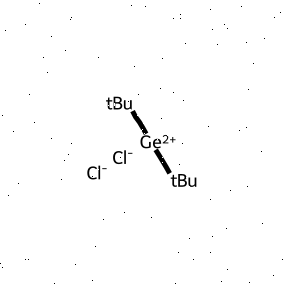 C[C](C)(C)[Ge+2][C](C)(C)C.[Cl-].[Cl-]